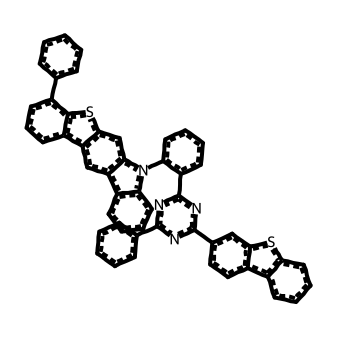 c1ccc(-c2nc(-c3ccc4c(c3)sc3ccccc34)nc(-c3ccccc3-n3c4ccccc4c4cc5c(cc43)sc3c(-c4ccccc4)cccc35)n2)cc1